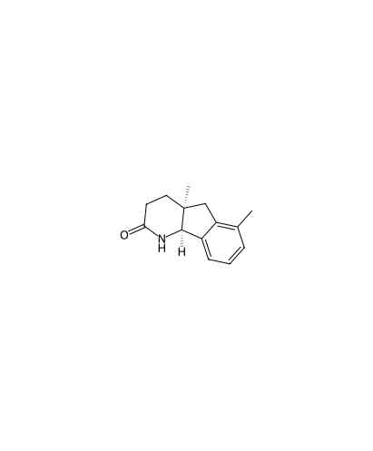 Cc1cccc2c1C[C@]1(C)CCC(=O)N[C@H]21